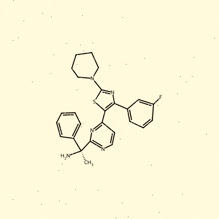 C[C@](N)(c1ccccc1)c1nccc(-c2sc(N3CCCCC3)nc2-c2cccc(F)c2)n1